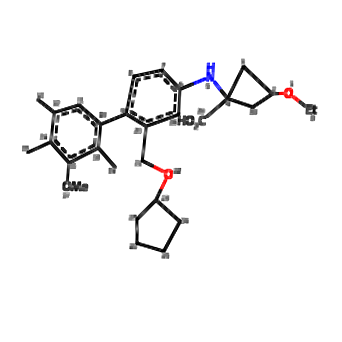 CCOC1CC(Nc2ccc(-c3cc(C)c(C)c(OC)c3C)c(COC3CCCC3)c2)(C(=O)O)C1